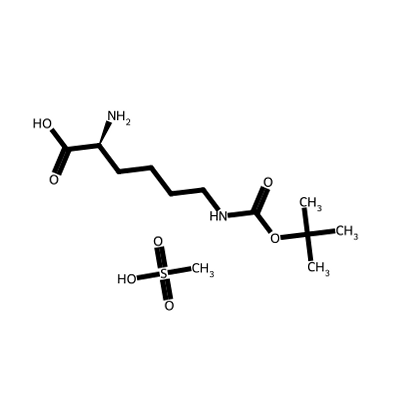 CC(C)(C)OC(=O)NCCCC[C@H](N)C(=O)O.CS(=O)(=O)O